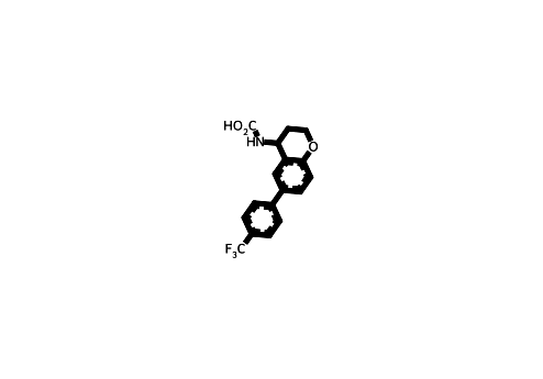 O=C(O)NC1CCOc2ccc(-c3ccc(C(F)(F)F)cc3)cc21